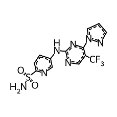 NS(=O)(=O)c1ccc(Nc2ncc(C(F)(F)F)c(-n3cccn3)n2)cn1